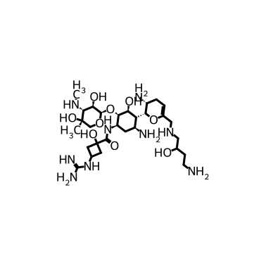 CN[C@@H]1[C@@H](O)[C@@H](O[C@H]2[C@H](NC(=O)C3(O)CC(NC(=N)N)C3)C[C@H](N)C([C@H]3OC(CNCC(O)CCN)=CC[C@H]3N)[C@@H]2O)OC[C@]1(C)O